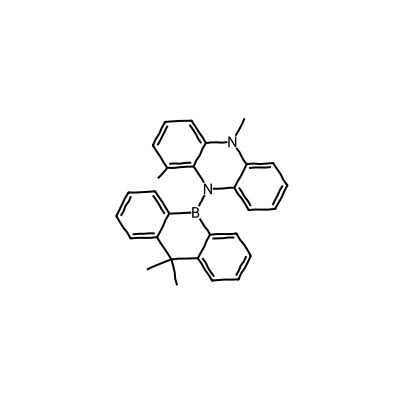 Cc1cccc2c1N(B1c3ccccc3C(C)(C)c3ccccc31)c1ccccc1N2C